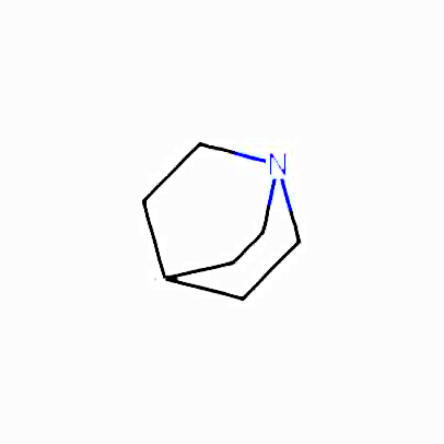 C1CN2CC[C]1CC2